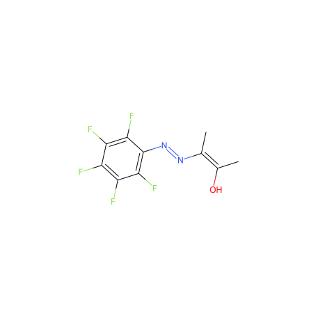 C/C(O)=C(C)/N=N/c1c(F)c(F)c(F)c(F)c1F